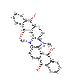 Bn1c2ccc3c(=O)c4ccccc4c(=O)c3c2n(B)c2ccc3c(=O)c4ccccc4c(=O)c3c21